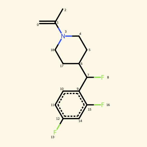 C=C(C)N1CCC(C(F)c2ccc(F)cc2F)CC1